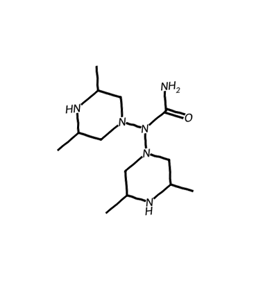 CC1CN(N(C(N)=O)N2CC(C)NC(C)C2)CC(C)N1